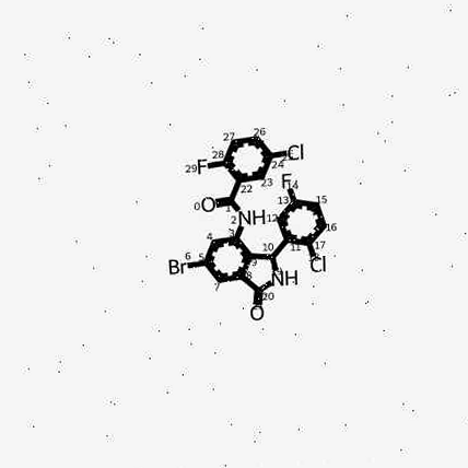 O=C(Nc1cc(Br)cc2c1C(c1cc(F)ccc1Cl)NC2=O)c1cc(Cl)ccc1F